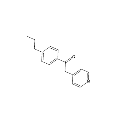 CCCc1ccc(C(=O)Cc2ccncc2)cc1